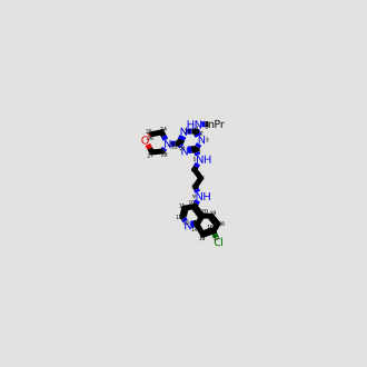 CCCNc1nc(NCCCNc2ccnc3cc(Cl)ccc23)nc(N2CCOCC2)n1